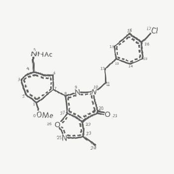 COc1ccc(NC(C)=O)cc1-c1nn(CCc2ccc(Cl)cc2)c(=O)c2c(C)noc12